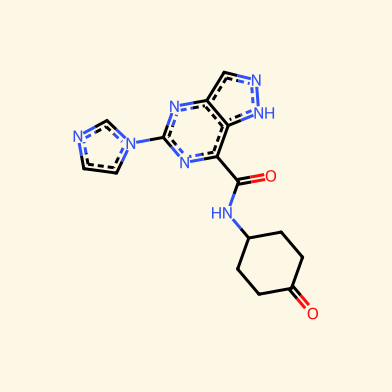 O=C1CCC(NC(=O)c2nc(-n3ccnc3)nc3cn[nH]c23)CC1